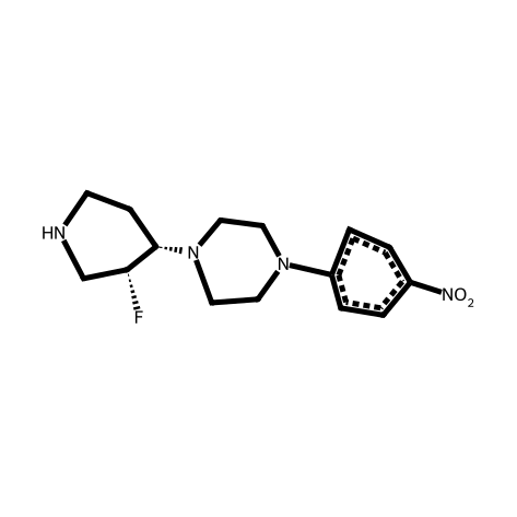 O=[N+]([O-])c1ccc(N2CCN([C@H]3CCNC[C@H]3F)CC2)cc1